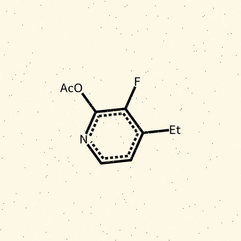 CCc1ccnc(OC(C)=O)c1F